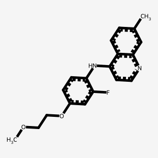 COCCOc1ccc(Nc2ccnc3cc(C)ccc23)c(F)c1